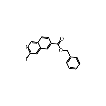 O=C(OCc1ccccc1)c1ccc2cnc(I)cc2c1